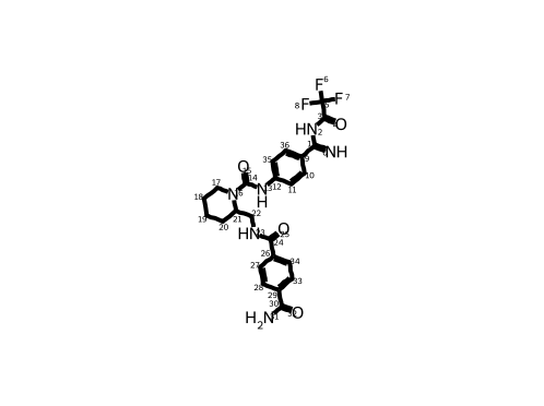 N=C(NC(=O)C(F)(F)F)c1ccc(NC(=O)N2CCCCC2CNC(=O)c2ccc(C(N)=O)cc2)cc1